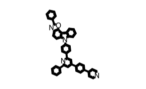 c1ccc(-c2cc(-c3ccc(-c4ccncc4)cc3)cc(-c3ccc(-n4c5ccccc5c5c6oc(-c7ccccc7)nc6ccc54)cc3)n2)cc1